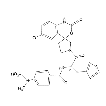 CN(C(=O)O)c1ccc(C(=O)N[C@@H](Cc2ccsc2)C(=O)N2CCC3(C2)OC(=O)Nc2ccc(Cl)cc23)cc1